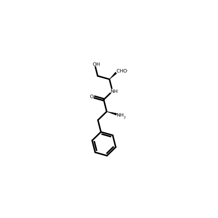 N[C@@H](Cc1ccccc1)C(=O)N[C@H]([C]=O)CO